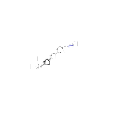 C/C=C/CC[C@H]1CC[C@H](C2CCC(c3ccc(C[SiH2]C)cc3)CC2)CC1